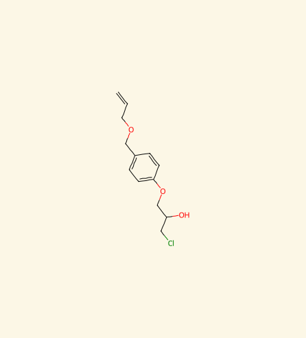 C=CCOCc1ccc(OCC(O)CCl)cc1